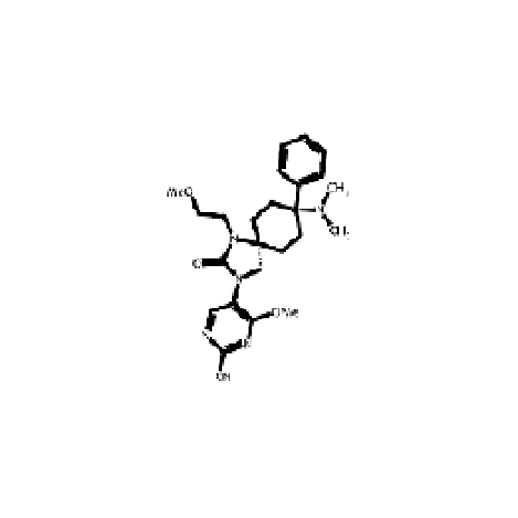 COCCN1C(=O)N(c2cnc(C#N)nc2OC)C[C@]12CC[C@](c1ccccc1)(N(C)C)CC2